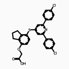 O=C(O)COc1ccc(Sc2cc(-c3ccc(Cl)cc3)nc(-c3ccc(Cl)cc3)c2)c2c1CCC2